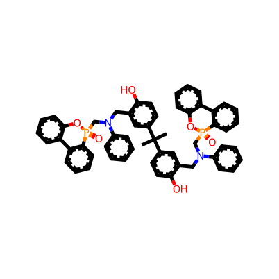 CC(C)(c1ccc(O)c(CN(CP2(=O)Oc3ccccc3-c3ccccc32)c2ccccc2)c1)c1ccc(O)c(CN(CP2(=O)Oc3ccccc3-c3ccccc32)c2ccccc2)c1